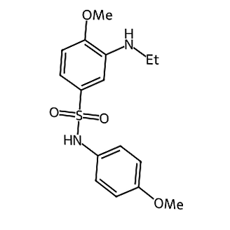 CCNc1cc(S(=O)(=O)Nc2ccc(OC)cc2)ccc1OC